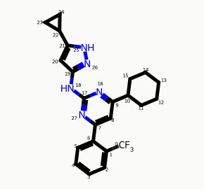 FC(F)(F)c1ccccc1-c1cc(C2CCCCC2)nc(Nc2cc(C3CC3)[nH]n2)n1